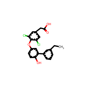 CCc1cccc(-c2cc(Oc3c(Cl)cc(CC(=O)O)cc3Cl)ccc2O)c1